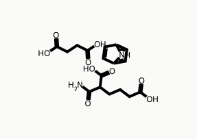 NC(=O)C(CCCC(=O)O)C(=O)O.O=C(O)CCC(=O)O.c1cc2ccc1[nH]2